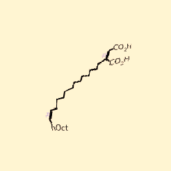 CCCCCCCC/C=C\CCCCCCCCCCCC/C(=C/C(=O)O)C(=O)O